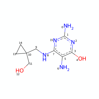 Nc1nc(O)c(N)c(NCC2(CO)CC2)n1